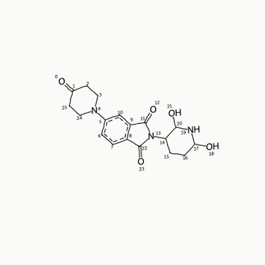 O=C1CCN(c2ccc3c(c2)C(=O)N(C2CCC(O)NC2O)C3=O)CC1